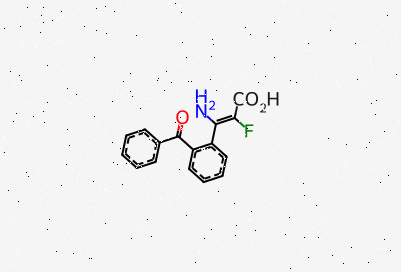 NC(=C(F)C(=O)O)c1ccccc1C(=O)c1ccccc1